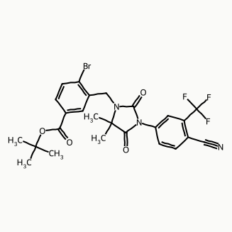 CC(C)(C)OC(=O)c1ccc(Br)c(CN2C(=O)N(c3ccc(C#N)c(C(F)(F)F)c3)C(=O)C2(C)C)c1